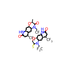 CC1Oc2cc3[nH]c(=O)cc(C(F)(F)F)c3cc2N(CC(F)(F)F)C1=O.O=c1cc(C(F)(F)F)c2cc3c(cc2[nH]1)OCC(=S)N3CC(F)(F)F